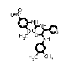 COc1ccc([N+](=O)[O-])cc1NC(=O)NC(C(=O)Nc1ccc(C)c(C)c1)c1ccsc1